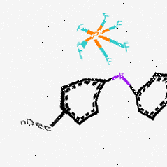 CCCCCCCCCCc1ccc([I+]c2ccccc2)cc1.F[P-](F)(F)(F)(F)F